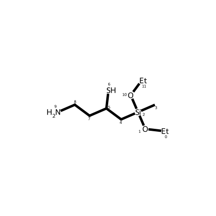 CCO[Si](C)(CC(S)CCN)OCC